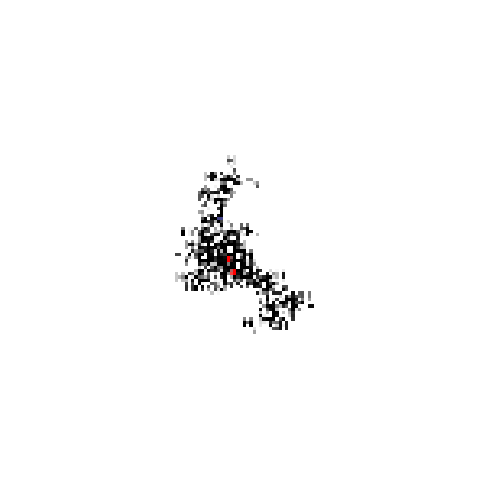 C=C[C@](C)(CC/C=C(\CO)C(=O)O[C@H]1C[C@]2(C(=O)O[C@@H]3O[C@H](CO)[C@@H](O)[C@H](O)[C@H]3O[C@@H]3O[C@@H](C)[C@H](O[C@@H]4O[C@@H](CO)[C@H](O)[C@H]4O)[C@@H](O[C@@H]4O[C@H](CO)[C@@H](O)[C@H](O)[C@H]4O)[C@H]3O)[C@H](O)C[C@]3(C)C(=CC[C@@H]4[C@@]5(C)CC[C@H](O[C@@H]6O[C@H](CO[C@@H]7O[C@H](C)[C@H](O)[C@H](O)[C@H]7O[C@@H]7OC[C@@H](O)[C@H](O)[C@H]7O)[C@@H](O)[C@H](O)[C@H]6O)C(C)(C)[C@@H]5CC[C@]43C)[C@@H]2CC1(C)C)O[C@@H]1O[C@H](C)[C@@H](O)[C@H](O)[C@H]1O